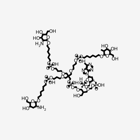 Cc1ncnc2c1ncn2[C@H]1C[C@H](CP(=O)(O)OCOCC(CO)COCOP(=O)(O)OCC(COCCCOP(=O)(O)OCCCCCCO[C@@H]2OC(CO)[C@H](O)[C@H](O)C2C)(COCCCOP(=O)(O)OCCCCCCO[C@@H]2OC(CO)C(O)C[C@@H]2N)COCCCOP(=O)(O)OCCCCCCO[C@@H]2OC(CO)[C@H](O)C(O)[C@@H]2N)[C@@H](COP(C)(=O)O)O1